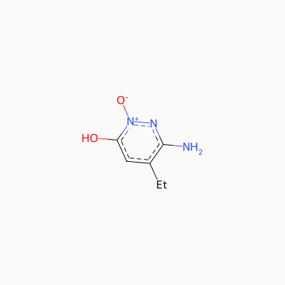 CCc1cc(O)[n+]([O-])nc1N